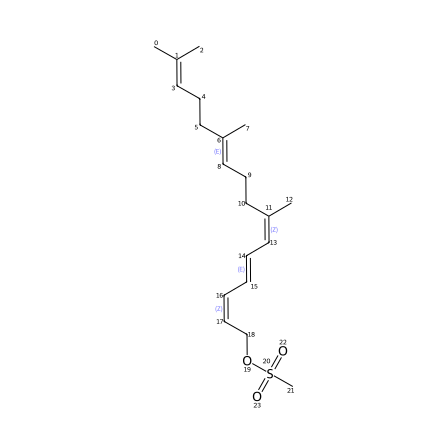 CC(C)=CCC/C(C)=C/CC\C(C)=C/C=C/C=C\COS(C)(=O)=O